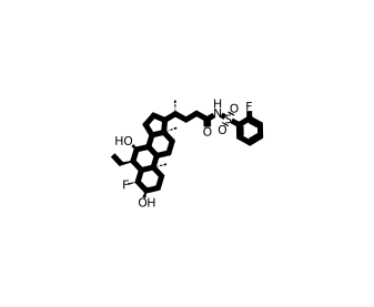 CC[C@@H]1C2[C@@H](F)[C@H](O)CC[C@]2(C)C2CC[C@@]3(C)C(CCC3[C@H](C)CCC(=O)NS(=O)(=O)c3ccccc3F)C2[C@@H]1O